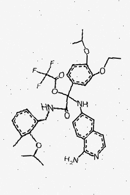 CCOc1cc(C(Nc2ccc3c(N)nccc3c2)(OC(=O)C(F)(F)F)C(=O)NCc2cccc(C)c2OC(C)C)ccc1OC(C)C